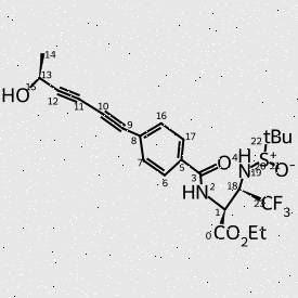 CCOC(=O)[C@@H](NC(=O)c1ccc(C#CC#C[C@H](C)O)cc1)[C@@H](N[S+]([O-])C(C)(C)C)C(F)(F)F